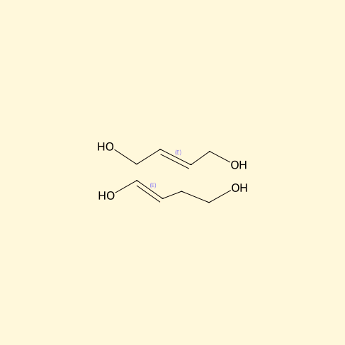 O/C=C/CCO.OC/C=C/CO